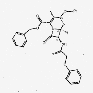 CC1=C(C(=O)OCc2ccccc2)N2C(=O)[C@H](NC(=O)COc3ccccc3)[C@@H]2S[C@@H]1OC(C)C